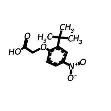 CC(C)(C)c1cc([N+](=O)[O-])ccc1OCC(=O)O